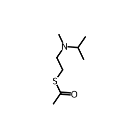 CC(=O)SCCN(C)C(C)C